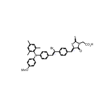 COc1ccc(N(c2ccc(/C=C(\Br)c3ccc(/C=C4\SC(=S)N(CC(=O)O)C4=O)cc3)cc2)c2c(C)cc(C)cc2C)cc1